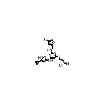 CCc1cc(CNc2nc(Nc3cc(C4CC4)[nH]n3)cc(OCCN(CC)CC)n2)on1